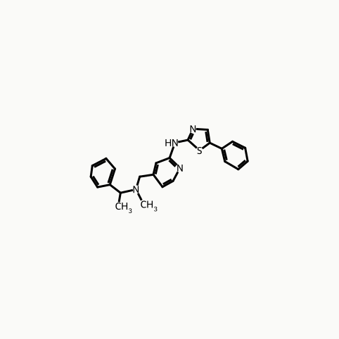 CC(c1ccccc1)N(C)Cc1ccnc(Nc2ncc(-c3ccccc3)s2)c1